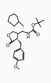 COc1ccc(C[C@H]2C(=O)OCC2[C@H](CC2CCCCC2)NC(=O)OC(C)(C)C)cc1